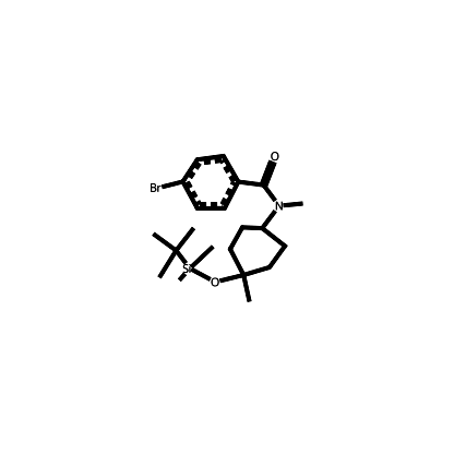 CN(C(=O)c1ccc(Br)cc1)C1CCC(C)(O[Si](C)(C)C(C)(C)C)CC1